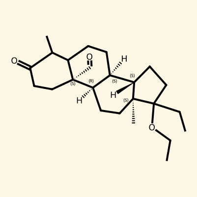 CCOC1(CC)CC[C@H]2[C@@H]3CCC4C(C)C(=O)CC[C@]4(C=O)[C@@H]3CC[C@@]21C